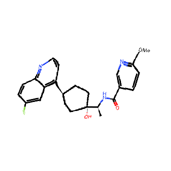 COc1ccc(C(=O)N[C@@H](C)[C@]2(O)CC[C@H](c3ccnc4ccc(F)cc43)CC2)cn1